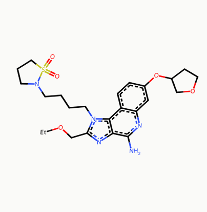 CCOCc1nc2c(N)nc3cc(OC4CCOC4)ccc3c2n1CCCCN1CCCS1(=O)=O